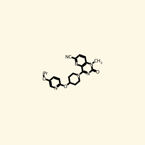 CC(C)Oc1ccc(OC2CCN(c3nc(=O)n(C)c4ccc(C#N)nc34)CC2)nc1